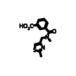 Cc1nc(CN(C)C(=O)c2cccc(C(=O)O)c2)cs1